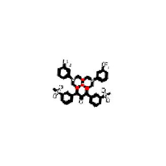 CS(=O)(=O)c1cccc(C(CN2CCN(c3cccc(C(F)(F)F)c3)CC2)C(=O)C(CN2CCN(c3cccc(C(F)(F)F)c3)CC2)c2cccc(S(C)(=O)=O)c2)c1